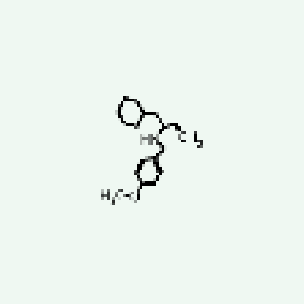 C=C[C@H](CC1CCCCC1)NCc1ccc(OC)cc1